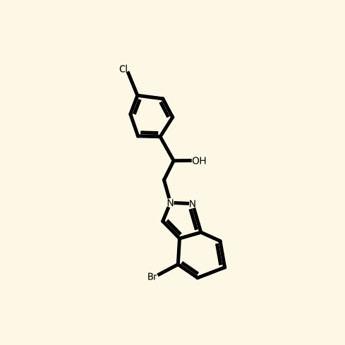 OC(Cn1cc2c(Br)cccc2n1)c1ccc(Cl)cc1